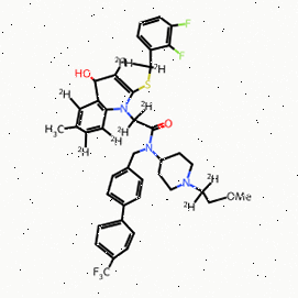 [2H]C1=C(SC([2H])([2H])c2cccc(F)c2F)N(C([2H])([2H])C(=O)N(Cc2ccc(-c3ccc(C(F)(F)F)cc3)cc2)C2CCN(C([2H])([2H])COC)CC2)c2c([2H])c([2H])c(C)c([2H])c2C1O